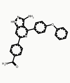 NC(=O)c1ccc(-c2cc3[nH]nc(N)c3c(-c3ccc(Oc4ccccc4)cc3)n2)cc1